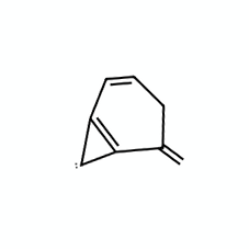 C=C1CC=CC2=C1[C]2